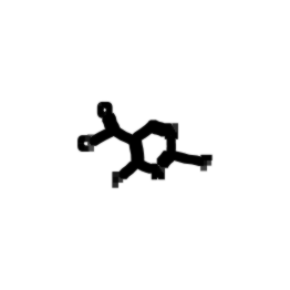 O=C(Cl)c1cnc(F)nc1F